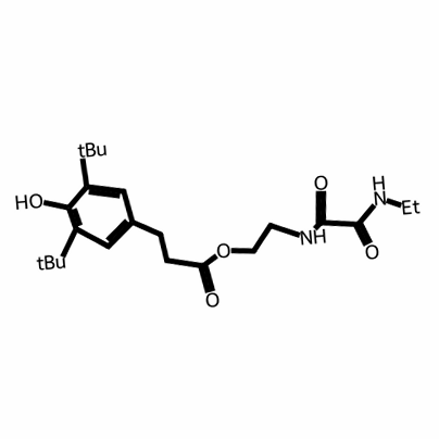 [CH2]CNC(=O)C(=O)NCCOC(=O)CCc1cc(C(C)(C)C)c(O)c(C(C)(C)C)c1